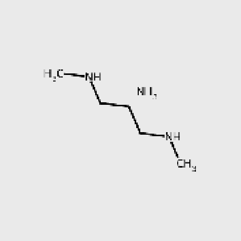 CNCCCNC.N